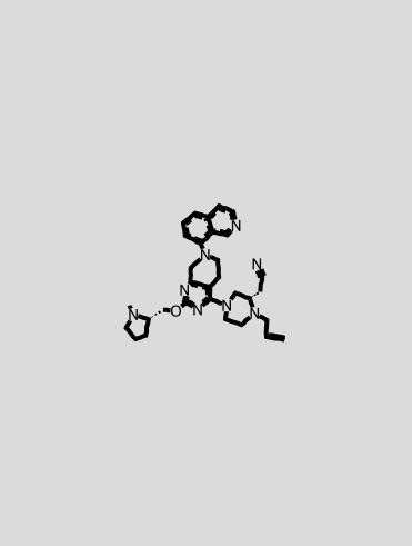 C=CCN1CCN(c2nc(OC[C@@H]3CCCN3C)nc3c2CCN(c2cccc4ccncc24)C3)C[C@@H]1CC#N